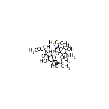 COCC(C)NC(=O)[C@H]1[C@H](C[C@H](/C=C/C(C)C)OC2OC(C)C(O)C(N)C2O)O[C@](O)(C[C@@H](O)C(C)C)C[C@@H]1O